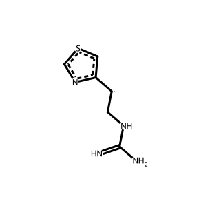 N=C(N)NC[CH]c1cscn1